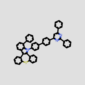 c1ccc(-c2cc(-c3ccc(-c4ccc(-n5c6c(c7cccc(-c8ccccc8)c75)-c5ccccc5Sc5ccccc5-6)cc4)cc3)nc(-c3ccccc3)n2)cc1